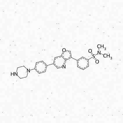 CN(C)S(=O)(=O)c1cccc(-c2coc3cc(-c4ccc(N5CCNCC5)cc4)cnc23)c1